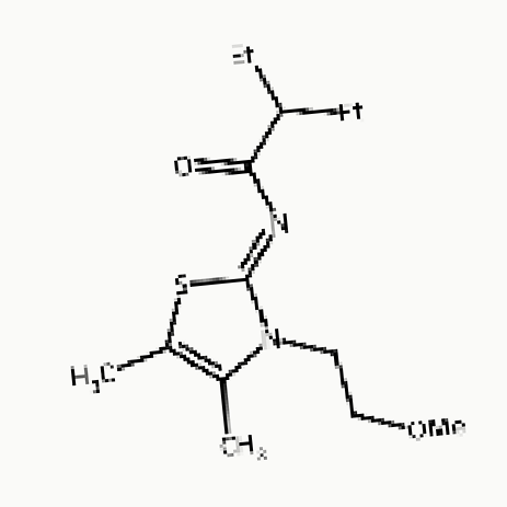 CCC(CC)C(=O)/N=c1\sc(C)c(C)n1CCOC